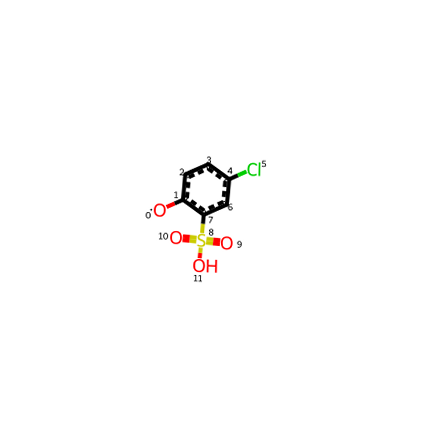 [O]c1ccc(Cl)cc1S(=O)(=O)O